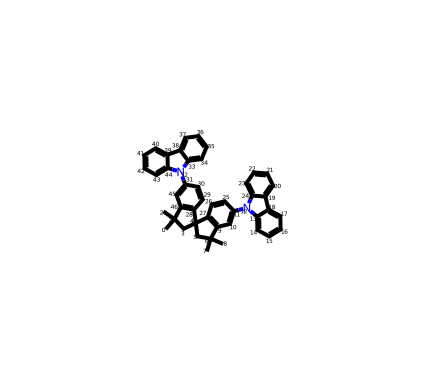 CC1(C)CC2(CC(C)(C)c3cc(-n4c5ccccc5c5ccccc54)ccc32)c2ccc(-n3c4ccccc4c4ccccc43)cc21